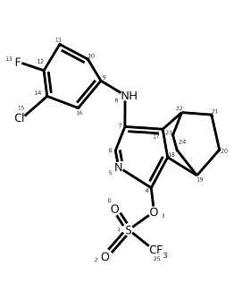 O=S(=O)(Oc1ncc(Nc2ccc(F)c(Cl)c2)c2c1C1CCC2CC1)C(F)(F)F